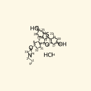 CCCN1CC(Oc2ccc(C(=O)c3c(-c4ccc(O)cc4C)sc4cc(O)ccc34)cc2)C1.Cl